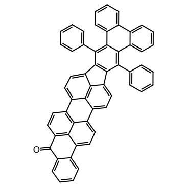 O=C1c2ccccc2-c2ccc3c4ccc5c6c(ccc(c7ccc1c2c73)c64)-c1c-5c(-c2ccccc2)c2c3ccccc3c3ccccc3c2c1-c1ccccc1